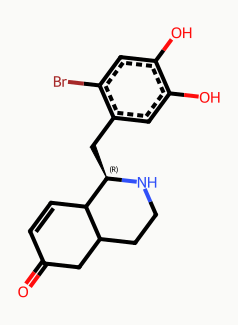 O=C1C=CC2C(CCN[C@@H]2Cc2cc(O)c(O)cc2Br)C1